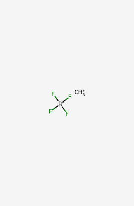 F[B-](F)(F)F.[CH3+]